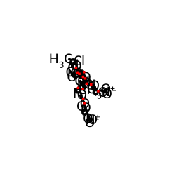 Cc1cc(Cl)c(OCCOc2ccc(C3=C(C(=O)N(Cc4ccnc(OCCCOC(=O)Oc5cccc(CO[N+](=O)[O-])c5)c4C)C4CC4)C4CN(C(=O)Oc5cccc(CO[N+](=O)[O-])c5)CC(C3)N4C(=O)Oc3cccc(CO[N+](=O)[O-])c3)cc2)c(Cl)c1